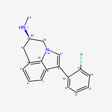 CN[C@@H]1Cc2cccc3c(-c4ccccc4F)cn(c23)C1